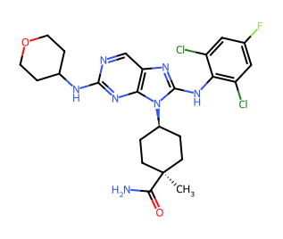 C[C@]1(C(N)=O)CC[C@@H](n2c(Nc3c(Cl)cc(F)cc3Cl)nc3cnc(NC4CCOCC4)nc32)CC1